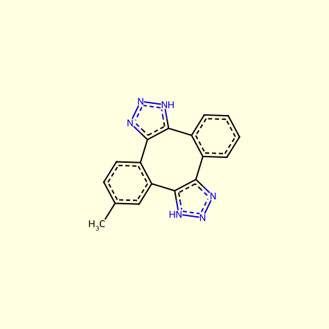 Cc1ccc2c(c1)-c1[nH]nnc1-c1ccccc1-c1[nH]nnc1-2